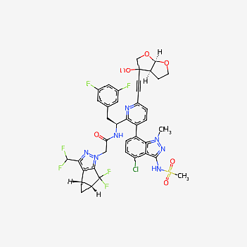 Cn1nc(NS(C)(=O)=O)c2c(Cl)ccc(-c3ccc(C#CC4(O)CO[C@H]5OCC[C@H]54)nc3[C@H](Cc3cc(F)cc(F)c3)NC(=O)Cn3nc(C(F)F)c4c3C(F)(F)[C@@H]3C[C@H]43)c21